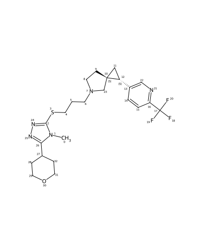 Cn1c(SCCCN2CC[C@]3(C[C@@H]3c3ccc(C(F)(F)F)nc3)C2)nnc1C1CCOCC1